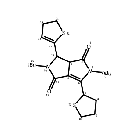 CCCCN1C(=O)C2C(=C1C1CCCS1)C(=O)N(CCCC)C2C1=CCCS1